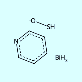 [BiH3].[O]S.c1ccncc1